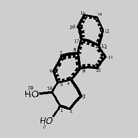 OC1CCc2c(ccc3c2ccc2ccccc23)C1O